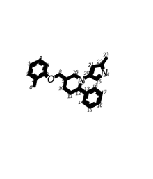 Cc1ccccc1OCC1CCC(c2ccccc2)N(C2=CC(C)N=C2)C1